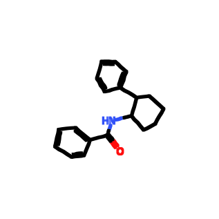 O=C(NC1CCCCC1c1ccccc1)c1ccccc1